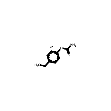 CCc1ccc(OC(N)=S)cc1.[Zn]